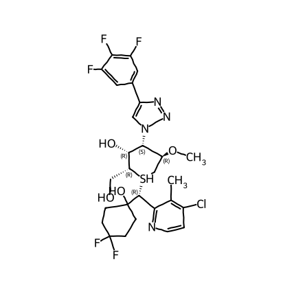 CO[C@H]1C[SH]([C@H](c2nccc(Cl)c2C)C2(O)CCC(F)(F)CC2)[C@H](CO)[C@H](O)[C@@H]1n1cc(-c2cc(F)c(F)c(F)c2)nn1